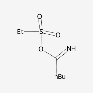 CCCCC(=N)OS(=O)(=O)CC